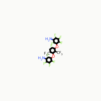 Nc1c(F)c(F)c(F)c(Oc2c(F)cc(C(F)(F)F)c(Oc3c(F)c(N)c(F)c(F)c3F)c2C(F)(F)F)c1F